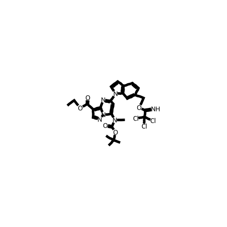 CCOC(=O)c1cnn2c(N(C)C(=O)OC(C)(C)C)cc(-n3ccc4ccc(COC(=N)C(Cl)(Cl)Cl)cc43)nc12